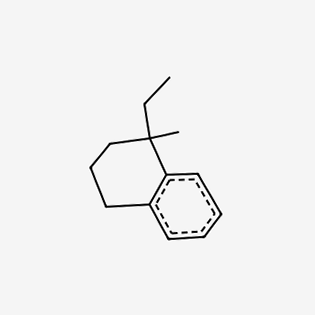 CCC1(C)CCCc2ccccc21